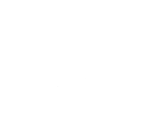 COc1cc(O)cc(O)c1CI